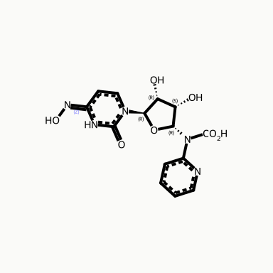 O=C(O)N(c1ccccn1)[C@@H]1O[C@@H](n2cc/c(=N/O)[nH]c2=O)[C@H](O)[C@@H]1O